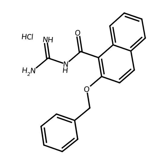 Cl.N=C(N)NC(=O)c1c(OCc2ccccc2)ccc2ccccc12